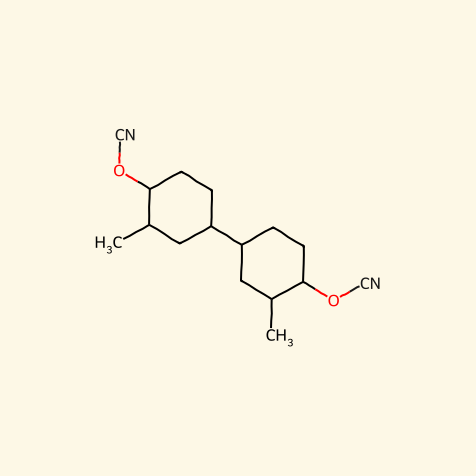 CC1CC(C2CCC(OC#N)C(C)C2)CCC1OC#N